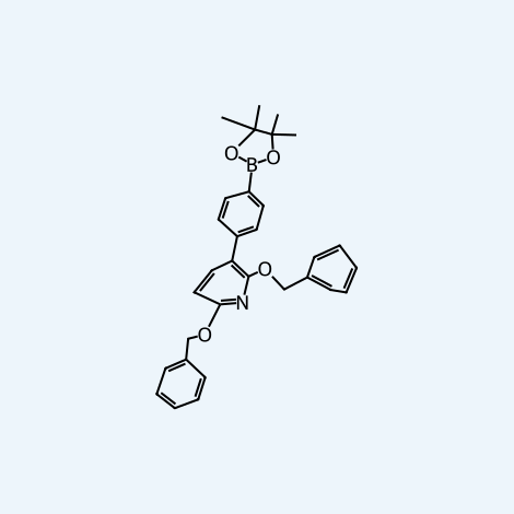 CC1(C)OB(c2ccc(-c3ccc(OCc4ccccc4)nc3OCc3ccccc3)cc2)OC1(C)C